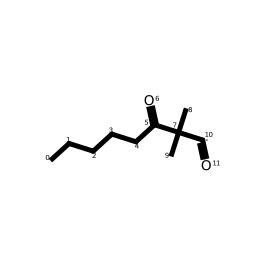 CCCCCC(=O)C(C)(C)[C]=O